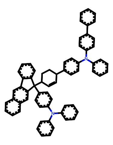 C1=CC(C2(c3ccc(N(c4ccccc4)c4ccccc4)cc3)c3ccccc3-c3cc4ccccc4cc32)CCC1c1ccc(N(c2ccccc2)c2ccc(-c3ccccc3)cc2)cc1